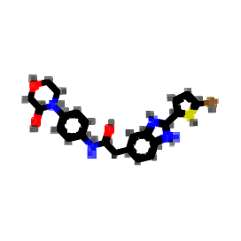 O=C(Cc1ccc2[nH]c(-c3ccc(Br)s3)nc2c1)Nc1ccc(N2CCOCC2=O)cc1